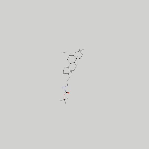 BC1(B)CCC2(C)C(C1)[C@@H](CC)CC1C3CCC(CCCNC(=O)OC(C)(C)C)C3(C)CC[C@@H]12